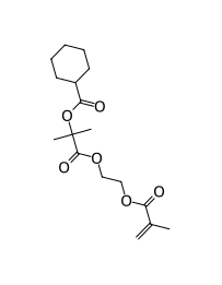 C=C(C)C(=O)OCCOC(=O)C(C)(C)OC(=O)C1CCCCC1